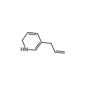 C=CCC1=CNCC=C1